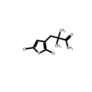 CC(C)(Cc1cc(Cl)sc1Cl)C(N)=O